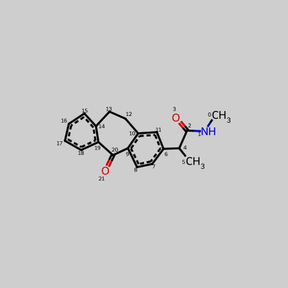 CNC(=O)C(C)c1ccc2c(c1)CCc1ccccc1C2=O